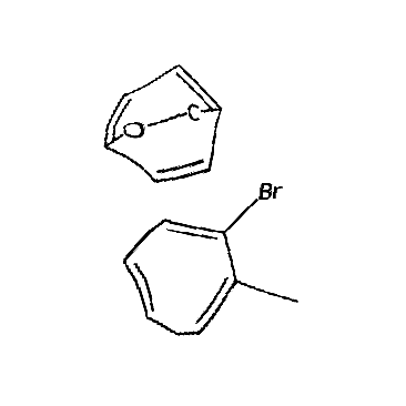 Cc1ccccc1Br.c1cc2ccc1CO2